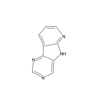 c1cnc2[nH]c3cncnc3c2c1